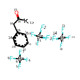 F[B-](F)(F)F.F[B-](F)(F)F.F[B-](F)(F)F.O=[C]([K])Cc1ccccc1